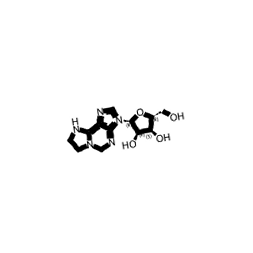 OC[C@H]1O[C@@H](n2cnc3c2=NCN2CCNC=32)[C@H](O)[C@@H]1O